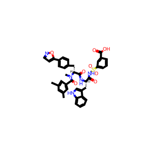 Cc1cc(C)cc(C(=O)N(C)[C@H](Cc2ccc(-c3ccno3)cc2)C(=O)N[C@@H](Cc2c[nH]c3ccccc23)C(=O)NS(=O)(=O)c2cccc(C(=O)O)c2)c1